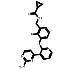 Nc1nccc(-c2cccnc2Oc2cccc(CNC(=O)C3CC3)c2F)n1